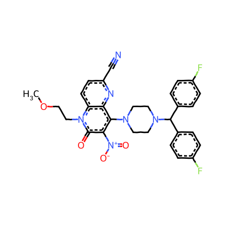 COCCn1c(=O)c([N+](=O)[O-])c(N2CCN(C(c3ccc(F)cc3)c3ccc(F)cc3)CC2)c2nc(C#N)ccc21